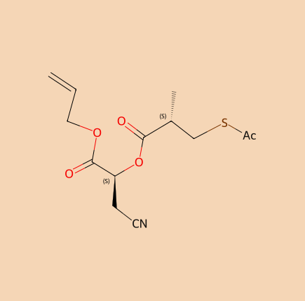 C=CCOC(=O)[C@H](CC#N)OC(=O)[C@H](C)CSC(C)=O